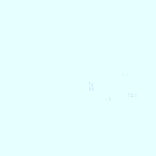 NC(Cl)(Cl)CNc1cccc2ccccc12